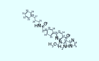 CCn1c(N)c(-c2ncc[nH]2)c(=O)c2ccc(-c3ccc(CC(=O)NCCCc4ccccc4)cc3)nc21